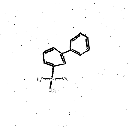 [CH3][Sn]([CH3])([CH3])[c]1cccc(-c2ccccc2)c1